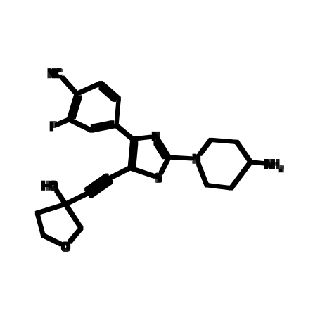 N#Cc1ccc(-c2nc(N3CCC(N)CC3)sc2C#CC2(O)CCOC2)cc1F